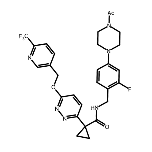 CC(=O)N1CCN(c2ccc(CNC(=O)C3(c4ccc(OCc5ccc(C(F)(F)F)nc5)nn4)CC3)c(F)c2)CC1